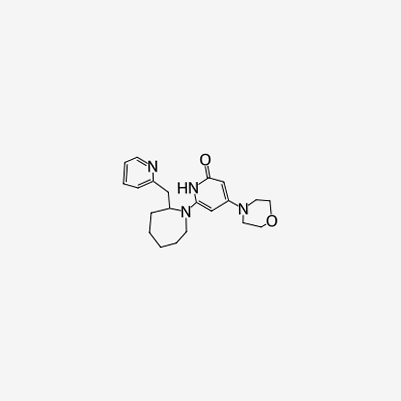 O=c1cc(N2CCOCC2)cc(N2CCCCCC2Cc2ccccn2)[nH]1